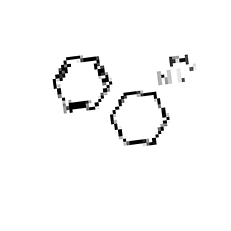 C1CCCCC1.N.P.c1ccncc1